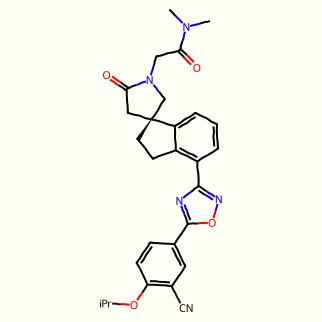 CC(C)Oc1ccc(-c2nc(-c3cccc4c3CC[C@]43CC(=O)N(CC(=O)N(C)C)C3)no2)cc1C#N